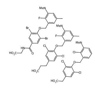 CNc1cc(C)cc(COc2c(Br)cc(C(=O)NCC(=O)O)cc2Br)c1F.CNc1cc(C)cc(COc2c(Cl)cc(CCC(=O)O)cc2Cl)c1F.CNc1cccc(COc2c(Cl)cc(CC(=O)O)cc2Cl)c1Cl